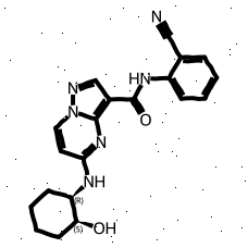 N#Cc1ccccc1NC(=O)c1cnn2ccc(N[C@@H]3CCCC[C@@H]3O)nc12